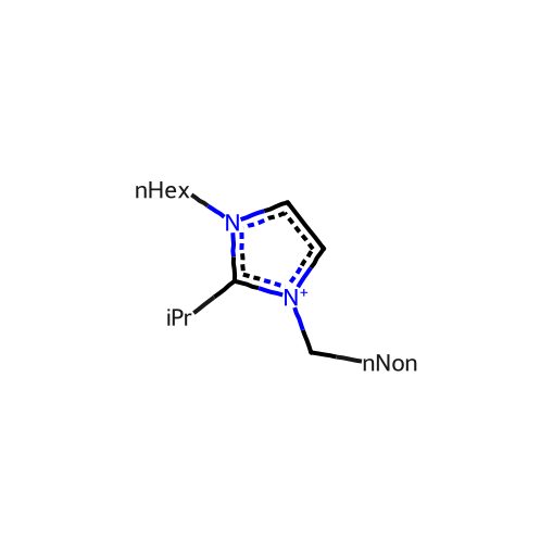 CCCCCCCCCC[n+]1ccn(CCCCCC)c1C(C)C